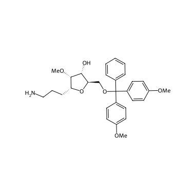 COc1ccc(C(OC[C@H]2O[C@H](CCCN)[C@H](OC)[C@@H]2O)(c2ccccc2)c2ccc(OC)cc2)cc1